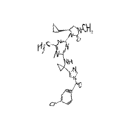 Cc1nc(NC2(c3cn(C(=O)c4ccc(Cl)cc4)cn3)CC2)nc(N2C(=O)N(C)C[C@@H]2C2CC2)n1